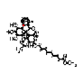 COC(=O)CCCCCCCCO[C@@H]1O[C@@H]2COC(c3ccccc3)O[C@H]2[C@H](O[C@@H]2O[C@H](CO)[C@H](O)[C@H](O)[C@H]2O)[C@H]1NC(C)=O